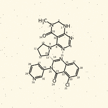 CN1CNc2ncnc(N3CCC[C@H]3c3nc4cccc(Cl)c4c(=O)n3-c3cccnc3)c2C1=O